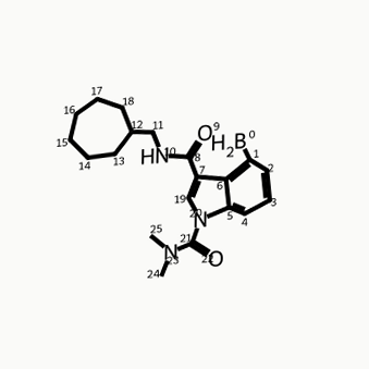 Bc1cccc2c1c(C(=O)NCC1CCCCCC1)cn2C(=O)N(C)C